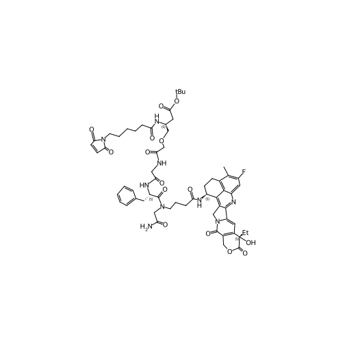 CC[C@@]1(O)C(=O)OCc2c1cc1n(c2=O)Cc2c-1nc1cc(F)c(C)c3c1c2[C@@H](NC(=O)CCCN(CC(N)=O)C(=O)[C@H](Cc1ccccc1)NC(=O)CNC(=O)COC[C@H](CC(=O)OC(C)(C)C)NC(=O)CCCCCN1C(=O)C=CC1=O)CC3